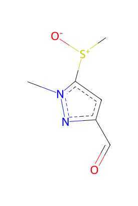 Cn1nc(C=O)cc1[S+](C)[O-]